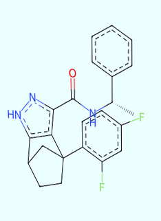 C[C@H](NC(=O)c1n[nH]c2c1C1(c3ccc(F)cc3F)CCC2C1)c1ccccc1